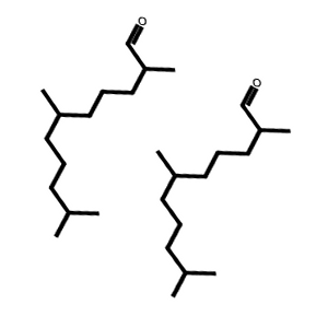 CC(C)CCCC(C)CCCC(C)C=O.CC(C)CCCC(C)CCCC(C)C=O